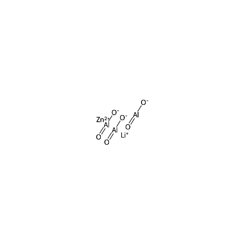 [Li+].[O]=[Al][O-].[O]=[Al][O-].[O]=[Al][O-].[Zn+2]